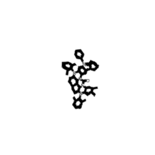 Cc1cc2c(cc1C)N1C(=O)N3c4cc5c6ccccc6n(-c6ccccc6)c5cc4B(c4c(C)cccc4C)c4ccc5ccc(c1c5c43)B2c1c(C)cccc1C